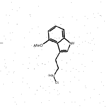 CCNCCc1c[nH]c2cccc(OC)c12